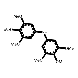 COc1cc(Pc2cc(OC)c(OC)c(OC)c2)cc(OC)c1OC